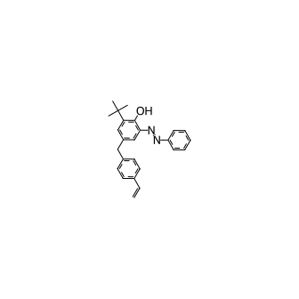 C=Cc1ccc(Cc2cc(N=Nc3ccccc3)c(O)c(C(C)(C)C)c2)cc1